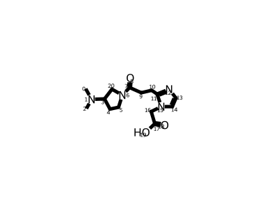 CN(C)C1CCN(C(=O)CCc2nccn2CC(=O)O)C1